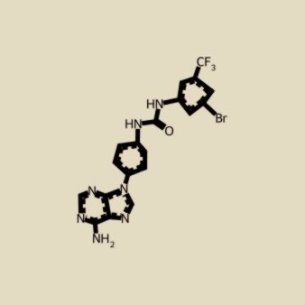 Nc1ncnc2c1ncn2-c1ccc(NC(=O)Nc2cc(Br)cc(C(F)(F)F)c2)cc1